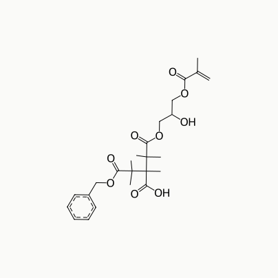 C=C(C)C(=O)OCC(O)COC(=O)C(C)(C)C(C)(C(=O)O)C(C)(C)C(=O)OCc1ccccc1